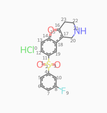 Cl.O=S(=O)(c1cccc(F)c1)c1ccc2oc3c(c2c1)CNCC3